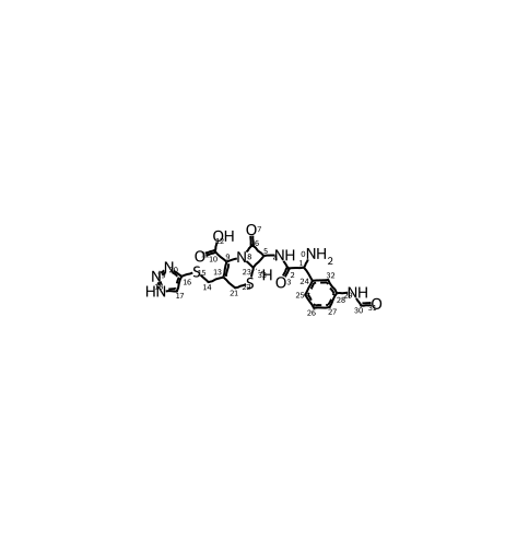 NC(C(=O)NC1C(=O)N2C(C(=O)O)=C(CSc3c[nH]nn3)CS[C@H]12)c1cccc(NC=O)c1